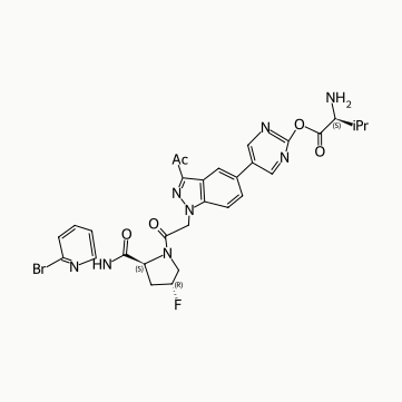 CC(=O)c1nn(CC(=O)N2C[C@H](F)C[C@H]2C(=O)Nc2cccc(Br)n2)c2ccc(-c3cnc(OC(=O)[C@@H](N)C(C)C)nc3)cc12